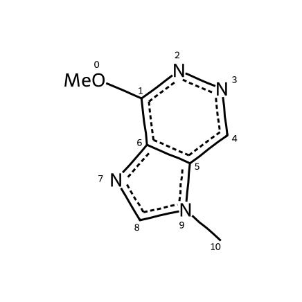 COc1nncc2c1ncn2C